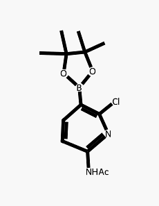 CC(=O)Nc1ccc(B2OC(C)(C)C(C)(C)O2)c(Cl)n1